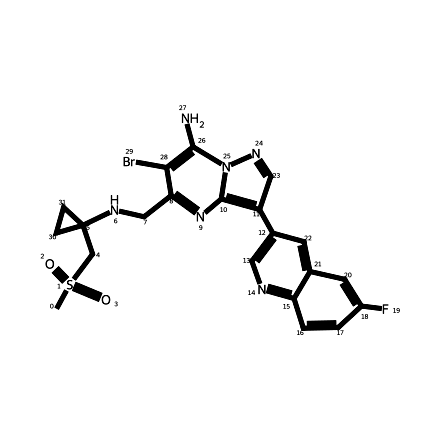 CS(=O)(=O)CC1(NCc2nc3c(-c4cnc5ccc(F)cc5c4)cnn3c(N)c2Br)CC1